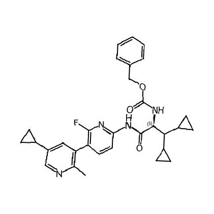 Cc1ncc(C2CC2)cc1-c1ccc(NC(=O)[C@@H](NC(=O)OCc2ccccc2)C(C2CC2)C2CC2)nc1F